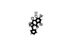 O=C1c2c(-c3ccccc3)noc2C(=O)c2c(O)c(Br)cc(Br)c21